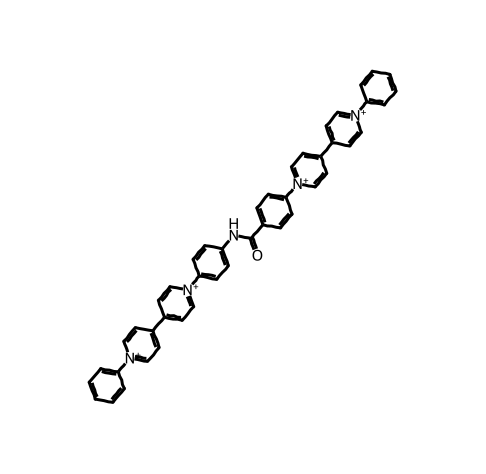 O=C(Nc1ccc(-[n+]2ccc(-c3cc[n+](-c4ccccc4)cc3)cc2)cc1)c1ccc(-[n+]2ccc(-c3cc[n+](-c4ccccc4)cc3)cc2)cc1